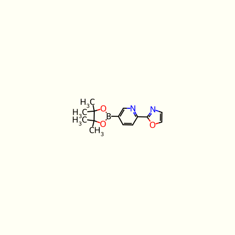 CC1(C)OB(c2ccc(-c3ncco3)nc2)OC1(C)C